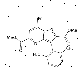 COC(=O)c1cc(C(C)C)n2nc(C(=O)OC)c(-c3c(C)cccc3C)c2n1